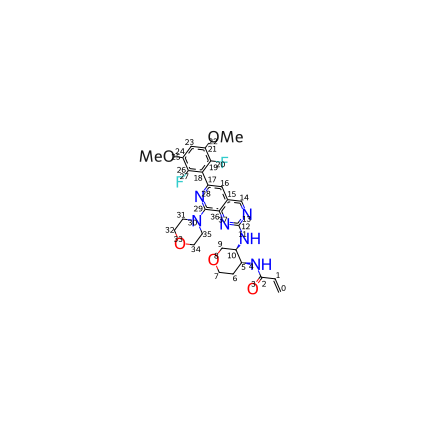 C=CC(=O)N[C@H]1CCOC[C@H]1Nc1ncc2cc(-c3c(F)c(OC)cc(OC)c3F)nc(N3CCOCC3)c2n1